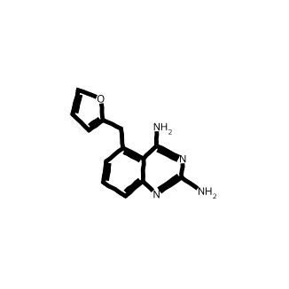 Nc1nc(N)c2c(Cc3ccco3)cccc2n1